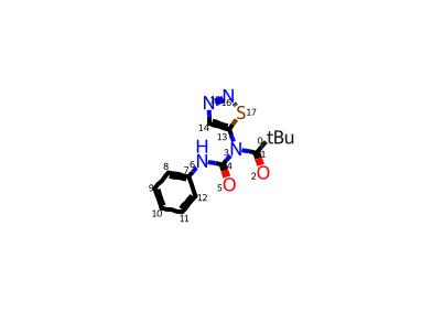 CC(C)(C)C(=O)N(C(=O)Nc1ccccc1)c1cnns1